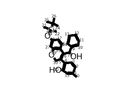 Cc1ccc(C2=C(C(O)c3ccccc3)c3ccc(O[Si](C)(C)C(C)(C)C)cc3OC2)c(O)c1